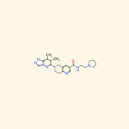 Cc1c(N2CCc3ncc(C(=O)NCCN4CCCC4)cc3C2)nn2cnnc2c1C